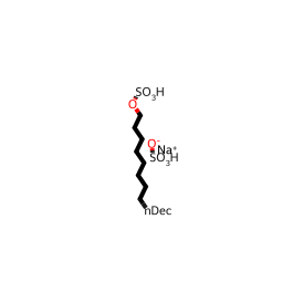 CCCCCCCCCCCCCCCCCCOS(=O)(=O)O.O=S(=O)([O-])O.[Na+]